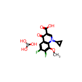 COc1c(F)c(F)cc2c(=O)c(C(=O)O)cn(C3CC3)c12.OB(O)O